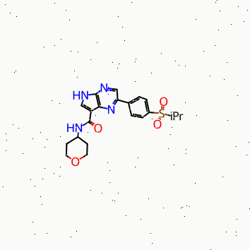 CC(C)S(=O)(=O)c1ccc(-c2cnc3[nH]cc(C(=O)NC4CCOCC4)c3n2)cc1